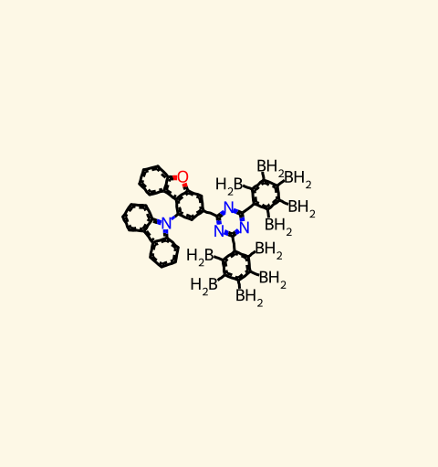 Bc1c(B)c(B)c(-c2nc(-c3cc(-n4c5ccccc5c5ccccc54)c4c(c3)oc3ccccc34)nc(-c3c(B)c(B)c(B)c(B)c3B)n2)c(B)c1B